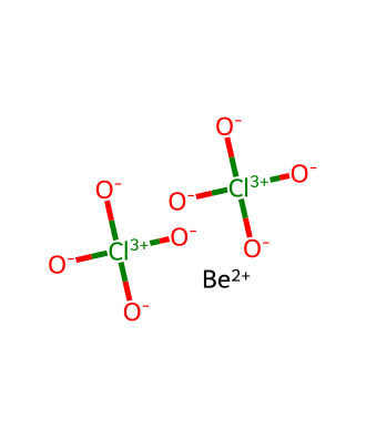 [Be+2].[O-][Cl+3]([O-])([O-])[O-].[O-][Cl+3]([O-])([O-])[O-]